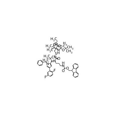 CCOC(=O)[C@](CSCC(=O)N(CCCNC(=O)OCC1c2ccccc2-c2ccccc21)[C@@H](c1cc(-c2cc(F)ccc2F)cn1Cc1ccccc1)C(C)(C)C)(NC(=O)OC(C)(C)C)[Si](C)(C)C